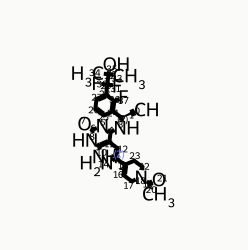 C#C[C@@H](Nc1nc(=O)[nH]c(N)c1/C=C(\N)C1=CCN(C(C)=O)CC1)c1cccc(C(F)(F)C(C)(C)O)c1F